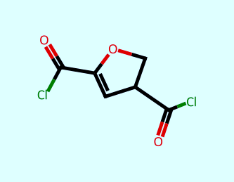 O=C(Cl)C1=CC(C(=O)Cl)CO1